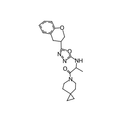 CC(Nc1nnc(C2COc3ccccc3C2)o1)C(=O)N1CCC2(CC1)CC2